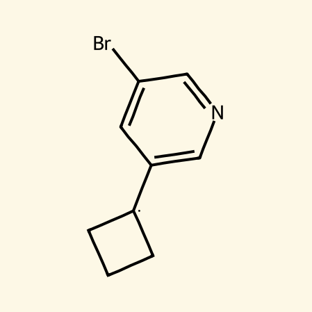 Brc1cncc([C]2CCC2)c1